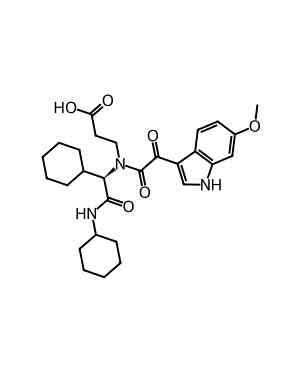 COc1ccc2c(C(=O)C(=O)N(CCC(=O)O)[C@@H](C(=O)NC3CCCCC3)C3CCCCC3)c[nH]c2c1